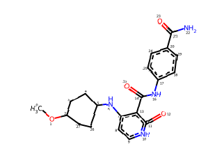 COC1CCC(Nc2cc[nH]c(=O)c2C(=O)Nc2ccc(C(N)=O)cc2)CC1